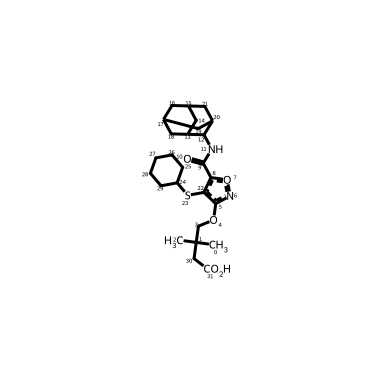 CC(C)(COc1noc(C(=O)NC2C3CC4CC(C3)CC2C4)c1SC1CCCCC1)CC(=O)O